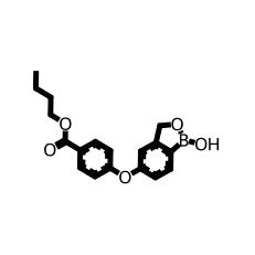 CCCCOC(=O)c1ccc(Oc2ccc3c(c2)COB3O)cc1